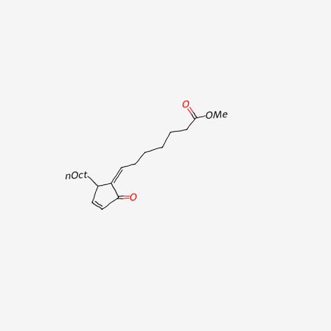 CCCCCCCCC1C=CC(=O)/C1=C\CCCCCC(=O)OC